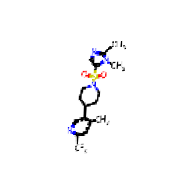 Cc1cc(C(F)(F)F)ncc1C1CCN(S(=O)(=O)c2cnc(C)n2C)CC1